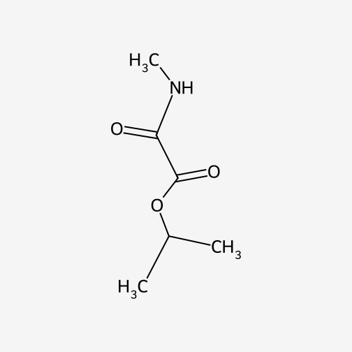 CNC(=O)C(=O)OC(C)C